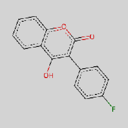 O=c1oc2ccccc2c(O)c1-c1ccc(F)cc1